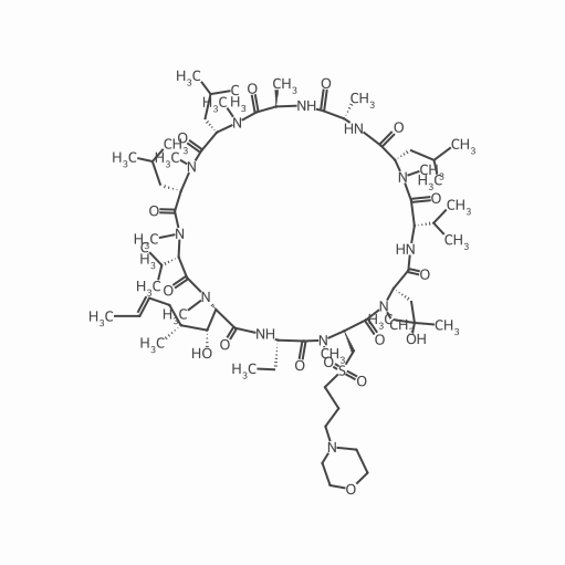 C/C=C/C[C@@H](C)[C@@H](O)[C@H]1C(=O)N[C@@H](CC)C(=O)N(C)[C@H](CS(=O)(=O)CCCN2CCOCC2)C(=O)N(C)[C@@H](CC(C)(C)O)C(=O)N[C@@H](C(C)C)C(=O)N(C)[C@@H](CC(C)C)C(=O)N[C@@H](C)C(=O)N[C@H](C)C(=O)N(C)[C@@H](CC(C)C)C(=O)N(C)[C@@H](CC(C)C)C(=O)N(C)[C@@H](C(C)C)C(=O)N1C